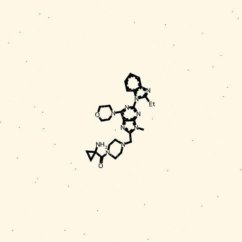 CCc1nc2ccccc2n1-c1nc(N2CCOCC2)c2nc(CN3CCN(C(=O)C4(N)CC4)CC3)n(C)c2n1